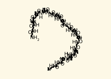 CN(C)CCCNC(=O)CCNC(=O)c1cc(NC(=O)c2nc(NC(=O)c3nc(NC(=O)CCNC(=O)c4cc(NC(=O)c5nc(NC(=O)CCCNC(=O)c6cc(NC(=O)c7nc(NC(=O)CCNC(=O)c8cc(NC(=O)c9cc(CC(=O)c%10nc(NC(=O)CCNC(=O)CCN)cn%10C)cn9C)cn8C)cn7C)cn6C)cn5C)cn4C)cn3C)cn2C)cn1C